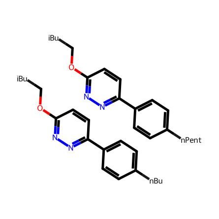 CCCCCc1ccc(-c2ccc(OCC(C)CC)nn2)cc1.CCCCc1ccc(-c2ccc(OCC(C)CC)nn2)cc1